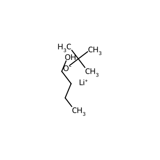 CC(C)(C)[O-].CCCCO.[Li+]